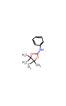 CC1(C)OB(Nc2ccccc2)OC1(C)C